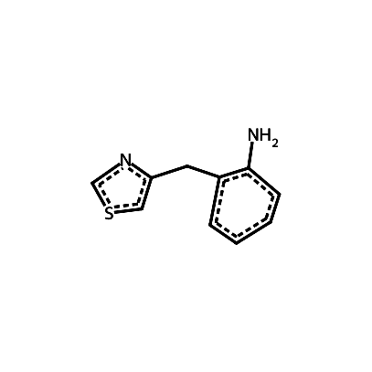 Nc1ccccc1Cc1cscn1